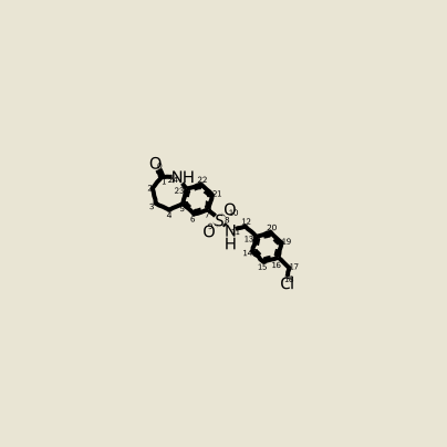 O=C1CCCc2cc(S(=O)(=O)NCc3ccc(CCl)cc3)ccc2N1